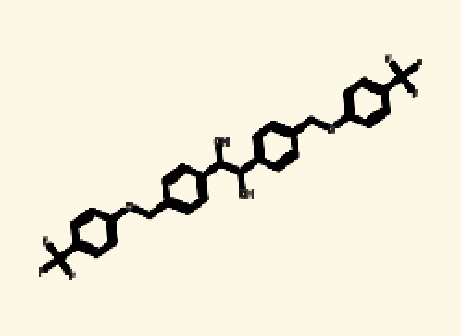 OC(c1ccc(COc2ccc(C(F)(F)F)cc2)cc1)C(O)c1ccc(COc2ccc(C(F)(F)F)cc2)cc1